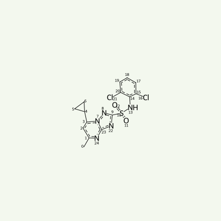 Cc1cc(C2CC2)n2nc(S(=O)(=O)Nc3c(Cl)cccc3Cl)nc2n1